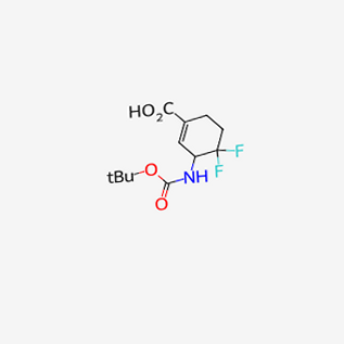 CC(C)(C)OC(=O)NC1C=C(C(=O)O)CCC1(F)F